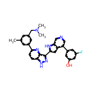 Cc1cc(CN(C)C)cc(-c2ccc3[nH]nc(-c4cc5c(-c6cc(O)cc(F)c6)cncc5[nH]4)c3n2)c1